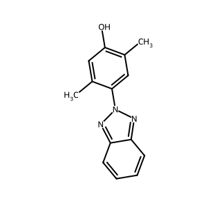 Cc1cc(-n2nc3ccccc3n2)c(C)cc1O